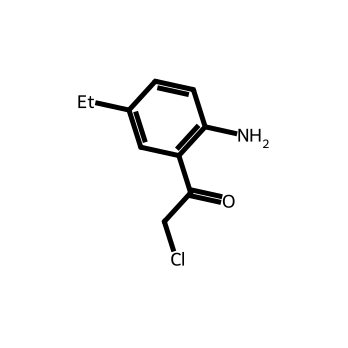 CCc1ccc(N)c(C(=O)CCl)c1